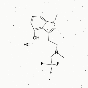 CN(CCc1cn(C)c2cccc(O)c12)CC(F)(F)F.Cl